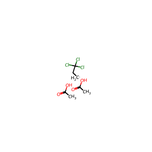 CC(=O)O.CC(=O)O.[CH2]CC(Cl)(Cl)Cl